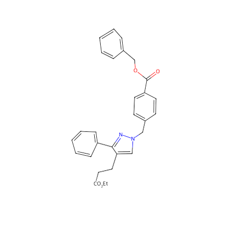 CCOC(=O)CCc1cn(Cc2ccc(C(=O)OCc3ccccc3)cc2)nc1-c1ccccc1